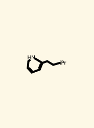 CC(C)CCC1=CC=CCN1